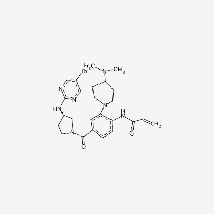 C=CC(=O)Nc1ccc(C(=O)N2CC[C@@H](Nc3ncc(Br)cn3)C2)cc1N1CCC(N(C)C)CC1